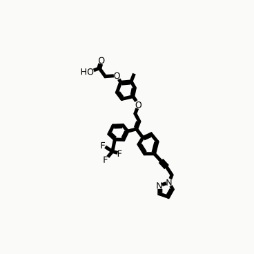 Cc1cc(OCC=C(c2ccc(C#CCn3cccn3)cc2)c2cccc(C(F)(F)F)c2)ccc1OCC(=O)O